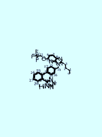 CCCCc1nc2ccc(OCC(F)(F)F)nc2n1Cc1ccc(-c2ccccc2-c2nnn[nH]2)cc1